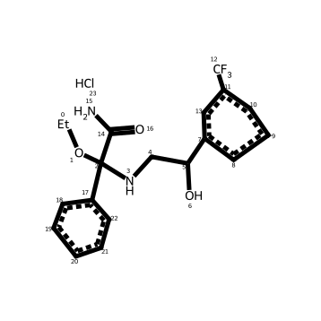 CCOC(NCC(O)c1cccc(C(F)(F)F)c1)(C(N)=O)c1ccccc1.Cl